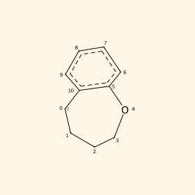 [C]1CCCOc2ccccc21